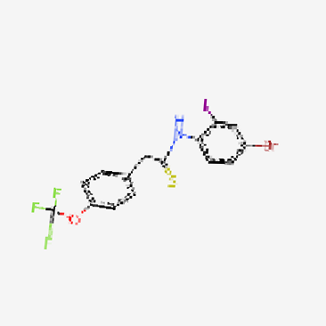 FC(F)(F)Oc1ccc(CC(=S)Nc2ccc(Br)cc2I)cc1